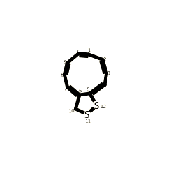 c1ccccc2c(ccc1)CSS2